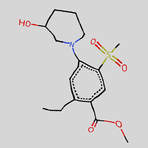 CCc1cc(N2CCCC(O)C2)c(S(C)(=O)=O)cc1C(=O)OC